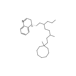 CCCC(CCC(C)CCC1(C)CCCCCCC1)CC[C@H]1CC=Nc2ccccc21